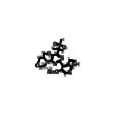 COc1cnc2[nH]ccc2c1-c1nc2c(c(C(C)(C)S(C)(=O)=O)n1)OCC1COC[C@@H](C)N21